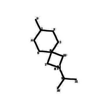 CC1CCC2(CC1)CN(C(C)C)C2